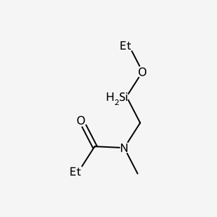 CCO[SiH2]CN(C)C(=O)CC